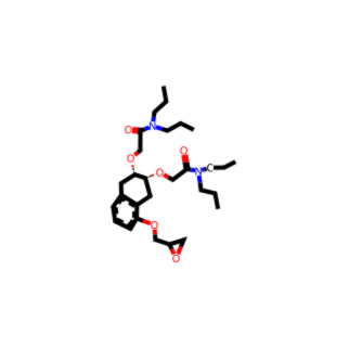 CCCN(CCC)C(=O)CO[C@H]1Cc2cccc(OCC3CO3)c2C[C@H]1OCC(=O)N(CCC)CCC